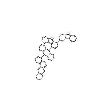 c1ccc2cc3c(ccc4c(-c5c6ccccc6c(-c6ccc(-c7ccc8oc9ccccc9c8c7)c7oc8ccccc8c67)c6ccccc56)cccc43)cc2c1